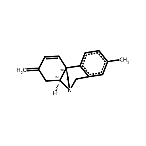 C=C1C=C[C@]23CCN(Cc4cc(C)ccc42)[C@H]3C1